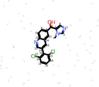 Cn1cncc1C(O)c1ccc2ncc(-c3c(Cl)cccc3Cl)cc2c1